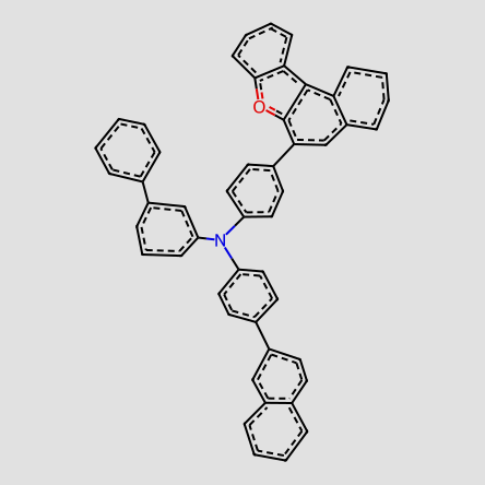 c1ccc(-c2cccc(N(c3ccc(-c4ccc5ccccc5c4)cc3)c3ccc(-c4cc5ccccc5c5c4oc4ccccc45)cc3)c2)cc1